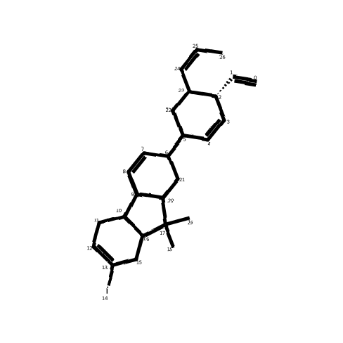 C=C[C@@H]1C=CC(C2C=CC3C4CC=C(I)CC4C(C)(C)C3C2)CC1/C=C\C